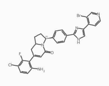 Nc1ccc(Cl)c(F)c1C1=CC(=O)N2C(CC[C@H]2c2ccc(-c3nc(-c4ccncc4Br)c[nH]3)cc2)C1